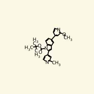 COc1cc(-c2ccc3c(c2)cc(-c2ccnc(C)c2)n3C(=O)OC(C)(C)C)ccn1